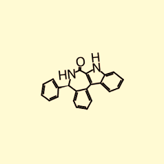 O=C1N[C@H](c2ccccc2)c2ccccc2-c2c1[nH]c1ccccc21